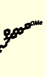 C=C(C)/C=C\C=C/C/C=C(/C1=C=C=c2c(ccc3cc(-c4ccc(OC)cc4)ccc23)=C1)C(C)c1ccccc1